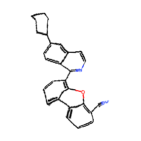 N#Cc1cccc2c1oc1c(-c3nccc4cc(C5CCCC5)ccc34)cccc12